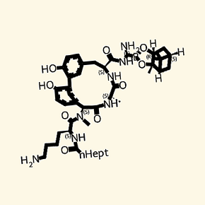 CCCCCCCC(=O)N[C@@H](CCCCN)C(=O)N(C)[C@@H]1C(=O)N[C@@H](C)C(=O)N[C@H](C(=O)N[C@@H](N)B2O[C@@H]3C[C@@H]4C[C@@H](C4(C)C)[C@]3(C)O2)Cc2ccc(O)c(c2)-c2cc1ccc2O